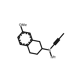 CC#CN(CCC)C1CCc2ccc(OC)cc2C1